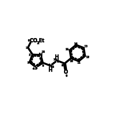 CCOC(=O)Cc1csc(NNC(=O)c2ccccc2)n1